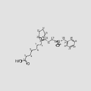 O=C(O)CCCCCCC1C2CCC(O2)C1CC[S+]([O-])Cc1ccccc1